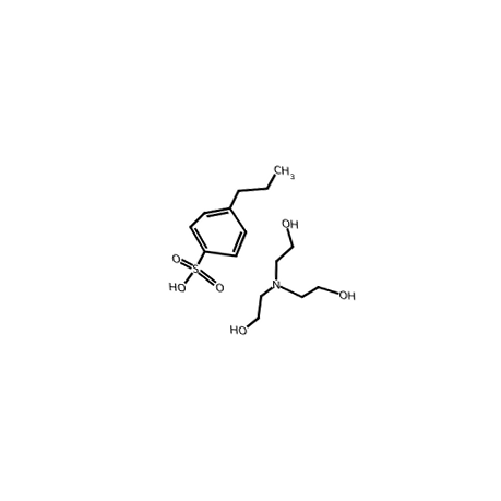 CCCc1ccc(S(=O)(=O)O)cc1.OCCN(CCO)CCO